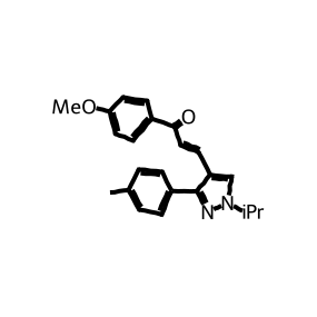 COc1ccc(C(=O)/C=C/c2cn(C(C)C)nc2-c2ccc(C)cc2)cc1